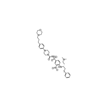 CN(C)CC[C@H](CSc1ccccc1)Nc1ccc(S(=O)(=O)NC(=O)N2CCN(c3ccc(CCCN4CCOCC4)cc3)CC2)cc1[N+](=O)[O-]